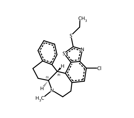 CCSc1nc2c(Cl)cc3c(c2s1)[C@H]1c2ccccc2CC[C@@H]1N(C)CC3